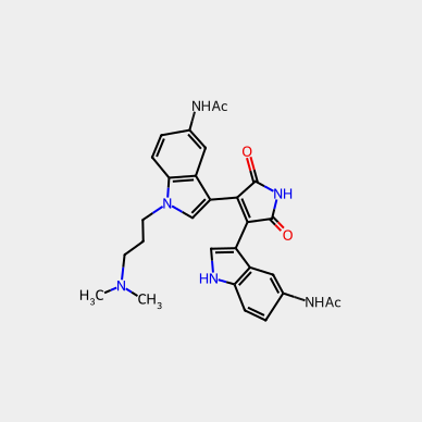 CC(=O)Nc1ccc2[nH]cc(C3=C(c4cn(CCCN(C)C)c5ccc(NC(C)=O)cc45)C(=O)NC3=O)c2c1